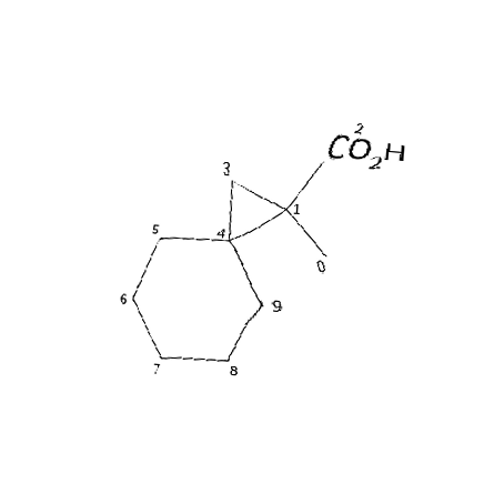 CC1(C(=O)O)CC12CCCCC2